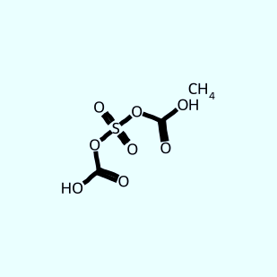 C.O=C(O)OS(=O)(=O)OC(=O)O